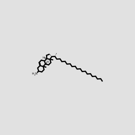 CCCCCCCCCCCCCCCCCCC[C@@H](C)[C@H]1CC[C@H]2C3CC=C4CC(N)CCC4(C)[C@H]3CCC12C